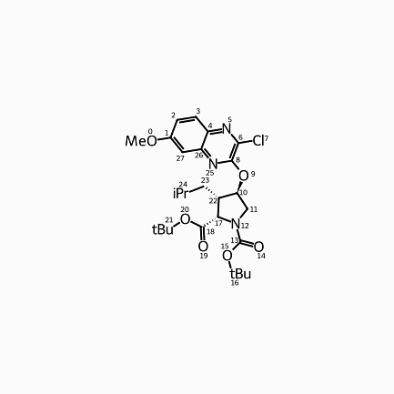 COc1ccc2nc(Cl)c(O[C@H]3CN(C(=O)OC(C)(C)C)[C@H](C(=O)OC(C)(C)C)[C@@H]3CC(C)C)nc2c1